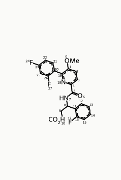 COc1ccc(C(=O)NC(CC(=O)O)c2ccccc2F)nc1-c1ccc(F)cc1F